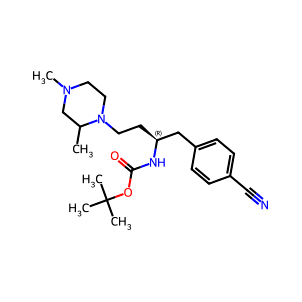 CC1CN(C)CCN1CC[C@@H](Cc1ccc(C#N)cc1)NC(=O)OC(C)(C)C